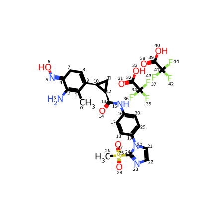 CC1=C(N)C(=NO)CC=C1[C@H]1C[C@H]1C(=O)Nc1ccc(-n2ccnc2S(C)(=O)=O)cc1.O=C(O)C(F)(F)F.O=C(O)C(F)(F)F